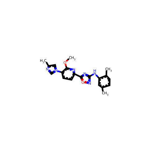 COc1nc(-c2nc(Nc3cc(C)ccc3C)no2)ccc1-n1cnc(C)c1